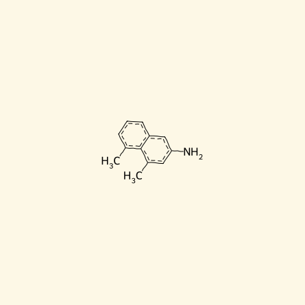 Cc1cccc2cc(N)cc(C)c12